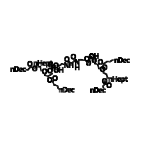 CCCCCCCCCCCCCC(=O)O[C@@H](COCC[C@@H](CCCCCCC)OC(=O)CCCCCCCCCCC)COP(=O)(O)OCCNC(=O)CC(=O)NCCOP(=O)(O)OC[C@H](COCC[C@@H](CCCCCCC)OC(=O)CCCCCCCCCCC)OC(=O)CCCCCCCCCCCCC